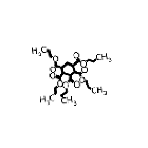 CCCOC(=O)C1CC(C(=O)OCCC)C(C(=O)OCCC)C(C(=O)OCCC)C1C(=O)OCCC